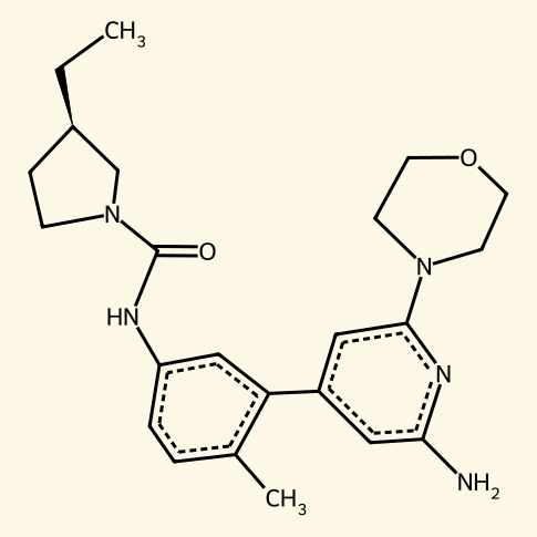 CC[C@@H]1CCN(C(=O)Nc2ccc(C)c(-c3cc(N)nc(N4CCOCC4)c3)c2)C1